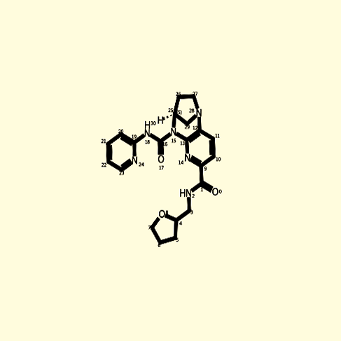 O=C(NCC1CCCO1)c1ccc2c(n1)N(C(=O)Nc1ccccn1)[C@H]1CCN2C1